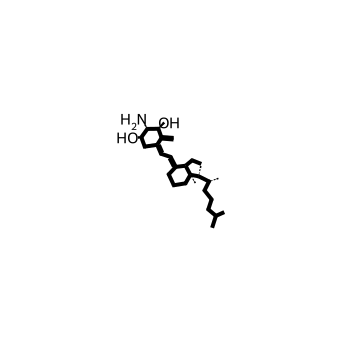 C=C1/C(=C\C=C2CCC[C@@]3(C)C2CC[C@@H]3[C@H](C)CCCC(C)C)C[C@@H](O)[C@H](N)[C@H]1O